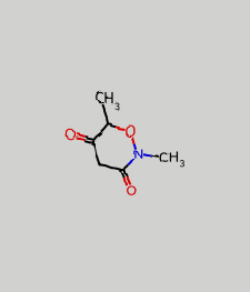 CC1ON(C)C(=O)CC1=O